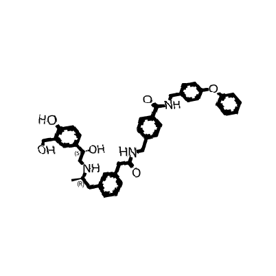 C[C@H](Cc1cccc(CC(=O)NCc2ccc(C(=O)NCc3ccc(Oc4ccccc4)cc3)cc2)c1)NC[C@@H](O)c1ccc(O)c(CO)c1